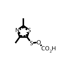 Cc1nc(C)c(SOC(=O)O)s1